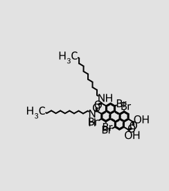 CCCCCCCCCCCNC(=O)c1cc(Br)c2c3c(Br)cc(C(=O)O)c4c(C(=O)O)cc(Br)c(c5c(Br)c(Br)c(C(=O)NCCCCCCCCCCC)c1c25)c43